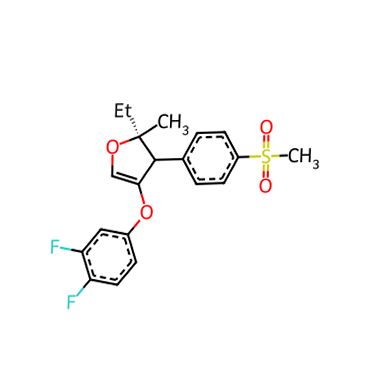 CC[C@@]1(C)OC=C(Oc2ccc(F)c(F)c2)C1c1ccc(S(C)(=O)=O)cc1